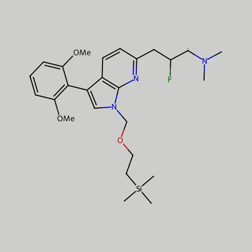 COc1cccc(OC)c1-c1cn(COCC[Si](C)(C)C)c2nc(CC(F)[CH]N(C)C)ccc12